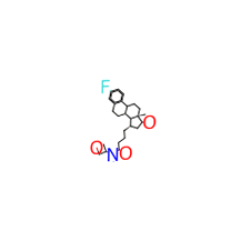 CN(C(=O)CCC[C@@H]1CC(=O)[C@@]2(C)CCC3c4ccc(F)cc4CCC3C12)C1COC1